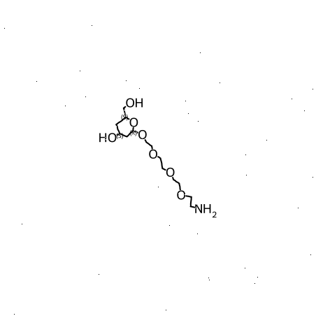 NCCOCCOCCOCCO[C@H]1C[C@@H](O)C[C@@H](CO)O1